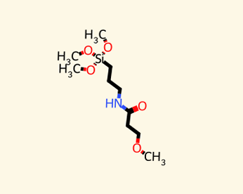 COCCC(=O)NCCC[Si](OC)(OC)OC